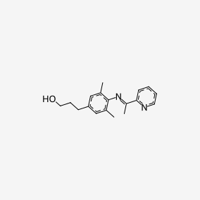 CC(=Nc1c(C)cc(CCCO)cc1C)c1ccccn1